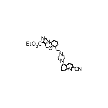 CCOC(=O)c1ncn2c1COc1c(CCN3CCN(c4cccc5nc(C#N)ccc45)CC3)cccc1-2